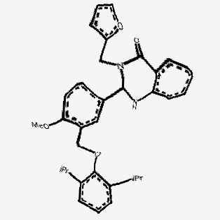 COc1ccc(C2Nc3ccccc3C(=O)N2Cc2ccco2)cc1COc1c(C(C)C)cccc1C(C)C